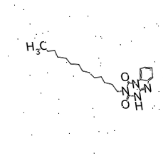 CCCCCCCCCCCCCCn1c(=O)[nH]c2nc3ccccc3n2c1=O